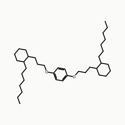 CCCCCCCC1CCCCC1CCCOc1ccc(OCCCC2CCCCC2CCCCCCC)cc1